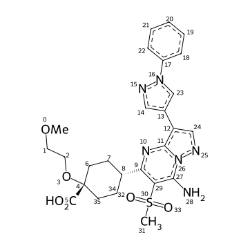 COCCO[C@]1(C(=O)O)CC[C@H](c2nc3c(-c4cnn(-c5ccccc5)c4)cnn3c(N)c2S(C)(=O)=O)CC1